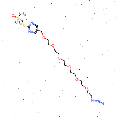 C[SH](C)(=O)CSc1ncc(COCCOCCOCCOCCOCCOCCN=[N+]=[N-])cn1